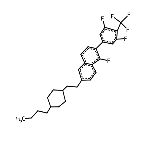 CCCCC1CCC(CCc2ccc3c(F)c(-c4cc(F)c(C(F)(F)F)c(F)c4)ccc3c2)CC1